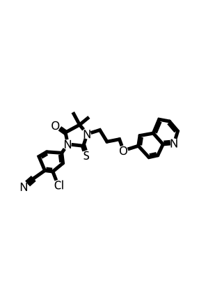 CC1(C)C(=O)N(c2ccc(C#N)c(Cl)c2)C(=S)N1CCCOc1ccc2ncccc2c1